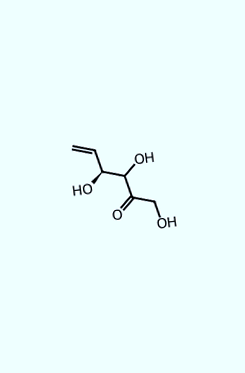 C=C[C@H](O)C(O)C(=O)CO